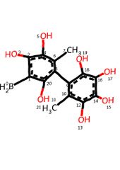 Bc1c(O)c(O)c(C)c(-c2c(C)c(O)c(O)c(O)c2O)c1O